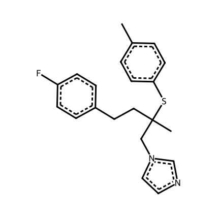 Cc1ccc(SC(C)(CCc2ccc(F)cc2)Cn2ccnc2)cc1